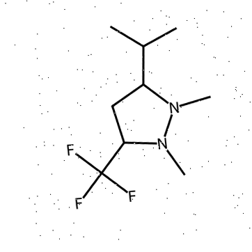 CC(C)C1CC(C(F)(F)F)N(C)N1C